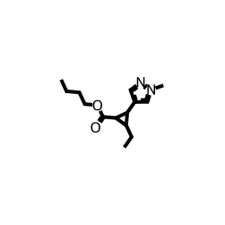 CCCCOC(=O)C1C(CC)C1c1cnn(C)c1